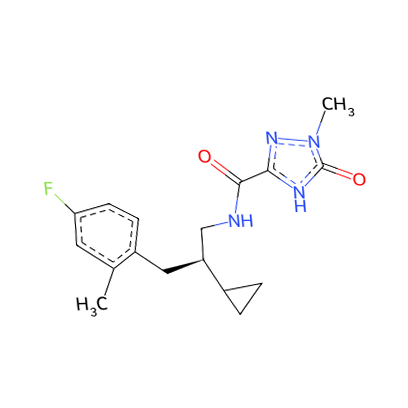 Cc1cc(F)ccc1C[C@@H](CNC(=O)c1nn(C)c(=O)[nH]1)C1CC1